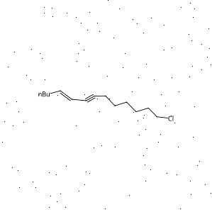 CCCCC=CC#CCCCCCCCl